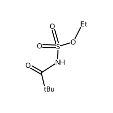 CCOS(=O)(=O)NC(=O)C(C)(C)C